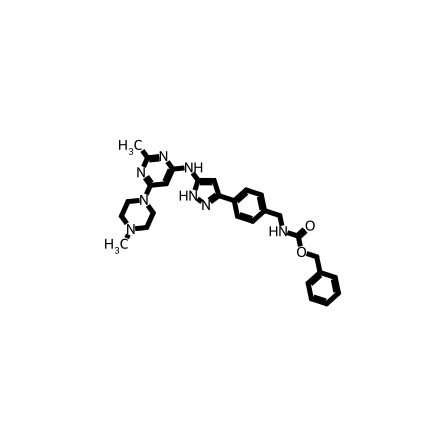 Cc1nc(Nc2cc(-c3ccc(CNC(=O)OCc4ccccc4)cc3)n[nH]2)cc(N2CCN(C)CC2)n1